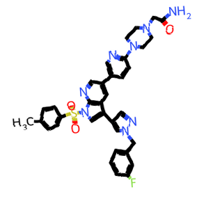 Cc1ccc(S(=O)(=O)n2cc(-c3cnn(Cc4cccc(F)c4)c3)c3cc(-c4ccc(N5CCN(CC(N)=O)CC5)nc4)cnc32)cc1